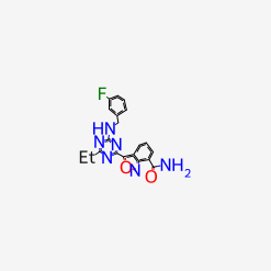 CCc1nc(NCc2cccc(F)c2)nc(-c2onc3c(C(N)=O)cccc23)n1